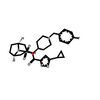 O=C(N[C@H]1C[C@H]2CC[C@@H](C1)N2S(=O)(=O)CC1CCN(Cc2ccc(F)cc2)CC1)c1cc(C2CC2)on1